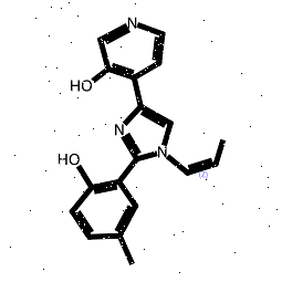 C/C=C\n1cc(-c2ccncc2O)nc1-c1cc(C)ccc1O